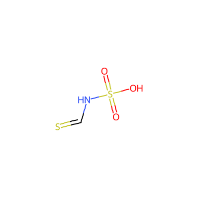 O=S(=O)(O)NC=S